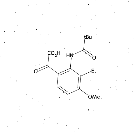 CCc1c(OC)ccc(C(=O)C(=O)O)c1NC(=O)C(C)(C)C